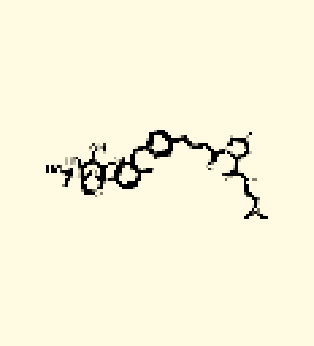 Cc1ccc([C@]23OC[C@](C(C)(C)O)(O2)[C@@H](O)[C@H](O)[C@H]3O)cc1Cc1ccc(CCCC(=O)N2C[C@H](F)CC2C(=O)NCCN(C)C)cc1